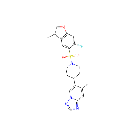 Cc1cc2ncnn2cc1C1CCN(S(=O)(=O)c2cc3c(cc2F)OCC3C)CC1